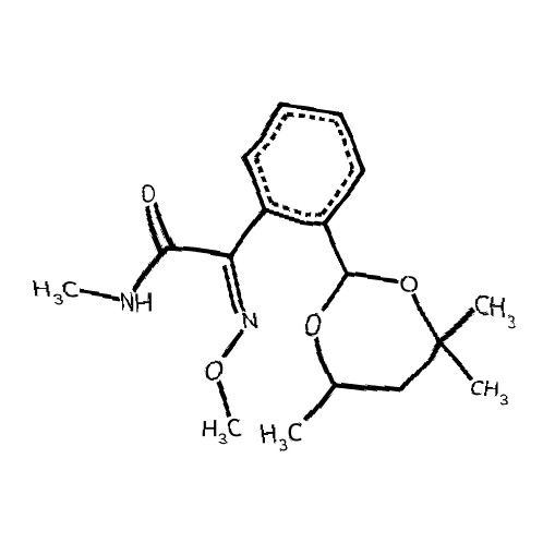 CNC(=O)C(=NOC)c1ccccc1C1OC(C)CC(C)(C)O1